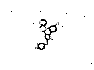 Cc1ncccc1-n1c(=O)c2nc(Sc3ccc(F)cc3)n(C)c2c2ccc(Cl)cc21